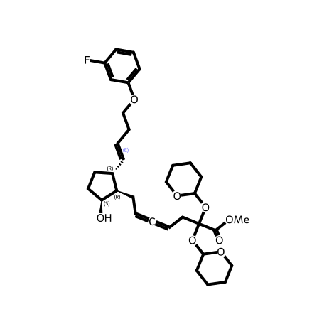 COC(=O)C(CC=C=CC[C@H]1[C@@H](O)CC[C@@H]1/C=C/CCOc1cccc(F)c1)(OC1CCCCO1)OC1CCCCO1